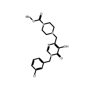 CC(C)(C)OC(=O)N1CCN(Cc2ncn(Cc3cccc(Cl)c3)c(=O)c2O)CC1